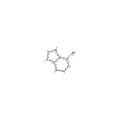 CC(C)c1ccnc2scnc12